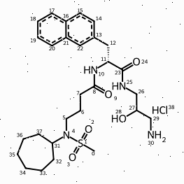 CS(=O)(=O)N(CCCC(=O)N[C@H](Cc1ccc2ccccc2c1)C(=O)NCC(O)CN)C1CCCCCC1.Cl